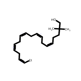 CC/C=C\C/C=C\C/C=C\C/C=C\C/C=C\CCC(C)(C)CO